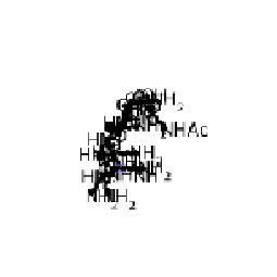 CC(=O)NCCCCC(N)C(=O)N[C@H](C(=O)NC(C)C(=O)NCC(=O)N[C@H](CCCN)C(=O)N1CCC[C@H]1C(=O)NC(Cc1cnc[nH]1)C(=O)N[C@@H](CCCCN)C(=O)N/C(=C\CCNC(=N)N)C(=O)N[C@@H](CCCCN)C(=O)NCCCCN)[C@@H](O)CN